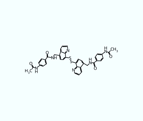 CC(=O)Nc1ccc(C(=O)NCc2ccc(SSc3ccc(CNC(=O)c4ccc(NC(C)=O)cc4)c4cccnc34)c3ncccc23)cc1